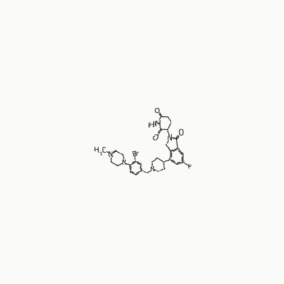 CN1CCN(c2ccc(CN3CCC(c4cc(F)cc5c4CN(C4CCC(=O)NC4=O)C5=O)CC3)cc2Br)CC1